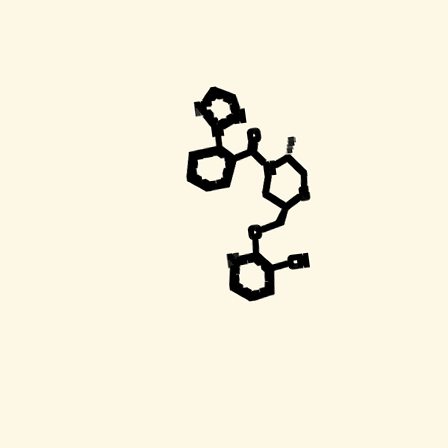 C[C@@H]1CS[C@@H](COc2ncccc2C#N)CN1C(=O)c1ccccc1-n1nccn1